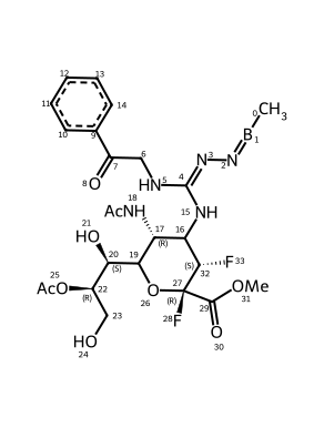 CB=NN=C(NCC(=O)c1ccccc1)NC1[C@@H](NC(C)=O)C([C@H](O)[C@@H](CO)OC(C)=O)O[C@@](F)(C(=O)OC)[C@H]1F